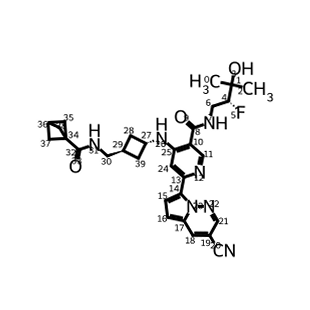 CC(C)(O)[C@H](F)CNC(=O)c1cnc(-c2ccc3cc(C#N)cnn23)cc1N[C@H]1C[C@H](CNC(=O)C23CC(C2)C3)C1